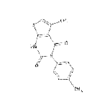 Cc1ccc(-n2c(=O)[nH]c3scc(C)c3c2=O)cc1